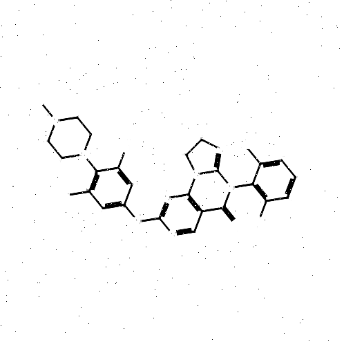 CN1CCN(c2c(Cl)cc(Nc3ncc4c(n3)N3CCN=C3N(c3c(F)cccc3Cl)C4=O)cc2Cl)CC1